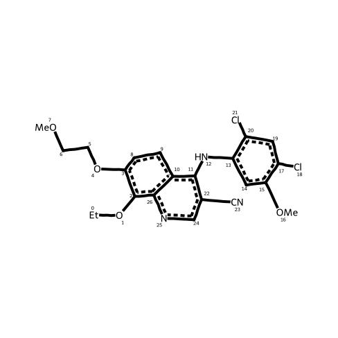 CCOc1c(OCCOC)ccc2c(Nc3cc(OC)c(Cl)cc3Cl)c(C#N)cnc12